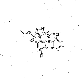 CCOC(=O)c1cnn(C)c1-c1ccc(Cl)cc1C(OC)c1ccccc1Cl